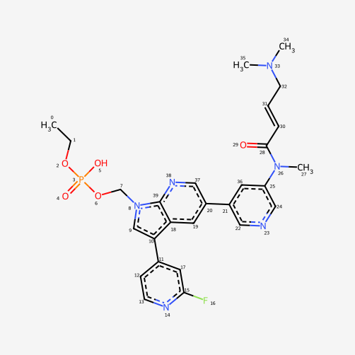 CCOP(=O)(O)OCn1cc(-c2ccnc(F)c2)c2cc(-c3cncc(N(C)C(=O)C=CCN(C)C)c3)cnc21